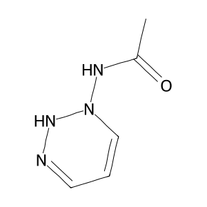 CC(=O)NN1C=CC=NN1